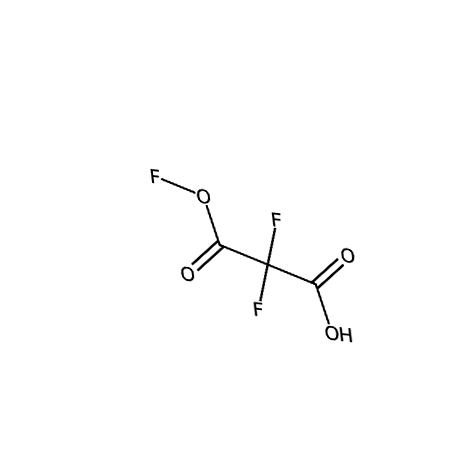 O=C(O)C(F)(F)C(=O)OF